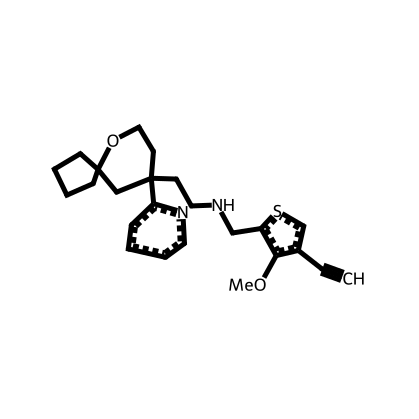 C#Cc1csc(CNCCC2(c3ccccn3)CCOC3(CCCC3)C2)c1OC